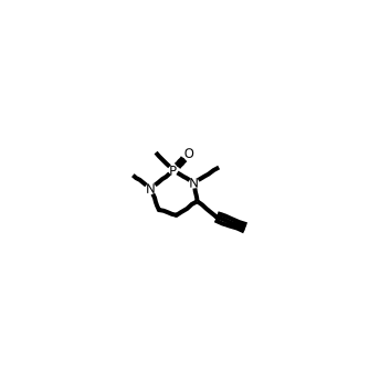 C#CC1CCN(C)P(C)(=O)N1C